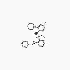 CCC(C)(Pc1ccc(C)cc1N1CCCCC1)c1cc(C)ccc1OCc1ccccc1